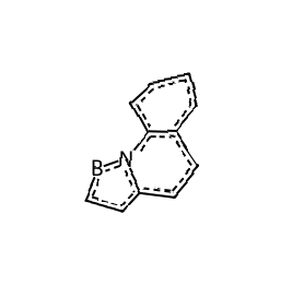 b1ccc2ccc3ccccc3n12